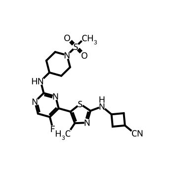 Cc1nc(NC2CC(C#N)C2)sc1-c1nc(NC2CCN(S(C)(=O)=O)CC2)ncc1F